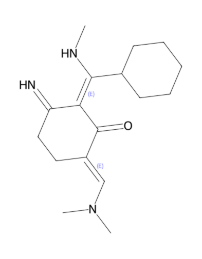 CN/C(=C1\C(=N)CC/C(=C\N(C)C)C1=O)C1CCCCC1